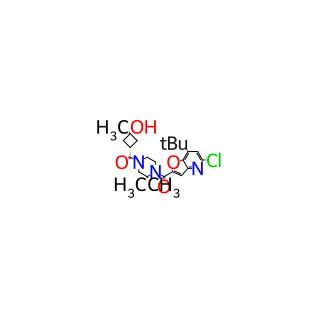 CC(C)(C)c1cc(Cl)nc2cc(C(=O)N3CCN(C(=O)[C@H]4C[C@@](C)(O)C4)CC3(C)C)oc12